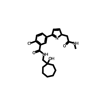 CNC(=O)CC1C=CC(c2ccc(Cl)c(C(=O)NCC3(O)CCCCCC3)c2)=N1